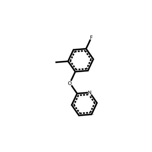 Cc1cc(F)ccc1Oc1cc[c]cn1